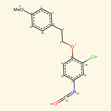 COc1ccc(CCOc2ccc(N=C=O)cc2Cl)cc1